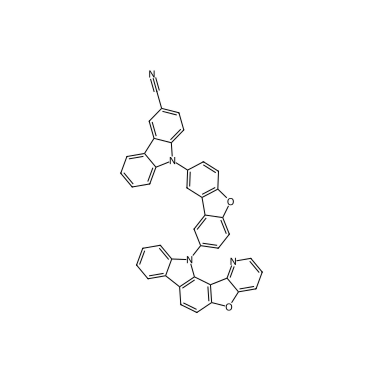 N#Cc1ccc2c(c1)c1ccccc1n2-c1ccc2oc3ccc(-n4c5ccccc5c5ccc6oc7cccnc7c6c54)cc3c2c1